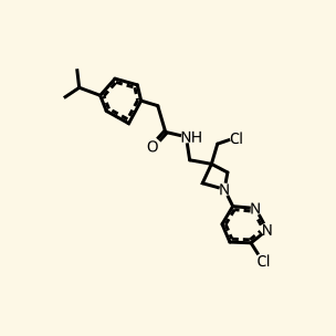 CC(C)c1ccc(CC(=O)NCC2(CCl)CN(c3ccc(Cl)nn3)C2)cc1